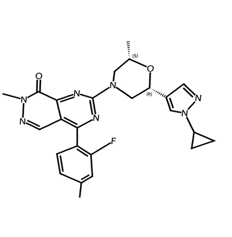 Cc1ccc(-c2nc(N3C[C@@H](c4cnn(C5CC5)c4)O[C@@H](C)C3)nc3c(=O)n(C)ncc23)c(F)c1